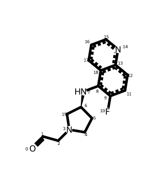 O=[C]CN1CC[C@H](Nc2c(F)ccc3ncccc23)C1